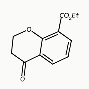 CCOC(=O)c1cccc2c1OCCC2=O